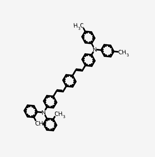 Cc1ccc(N(c2ccc(C)cc2)c2ccc(C=Cc3ccc(C=Cc4ccc(N(c5ccccc5C)c5ccccc5C)cc4)cc3)cc2)cc1